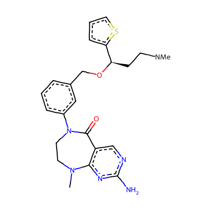 CNCC[C@@H](OCc1cccc(N2CCN(C)c3nc(N)ncc3C2=O)c1)c1cccs1